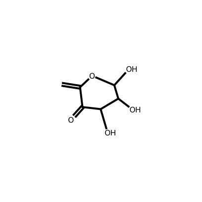 C=C1OC(O)C(O)C(O)C1=O